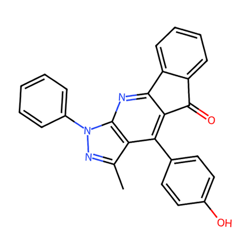 Cc1nn(-c2ccccc2)c2nc3c(c(-c4ccc(O)cc4)c12)C(=O)c1ccccc1-3